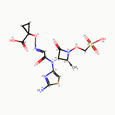 C[C@H]1[C@H](N(C(=O)C=NOC2(C(=O)O)CC2)c2csc(N)n2)C(=O)N1OCS(=O)(=O)O